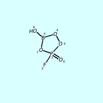 O=P1(F)OOB(O)O1